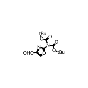 CC(C)(C)OC(=O)N(C(=O)OC(C)(C)C)c1nc(C=O)co1